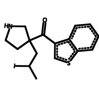 CC(I)CC1(C(=O)c2csc3ccccc23)CCNC1